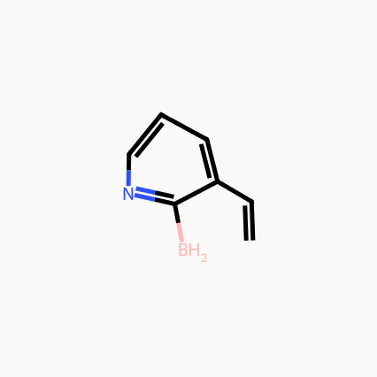 Bc1ncccc1C=C